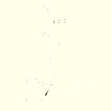 CCS[C@](N)(CCCNC(N)=O)C(=O)O